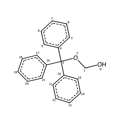 O[CH]OC(c1ccccc1)(c1ccccc1)c1ccccc1